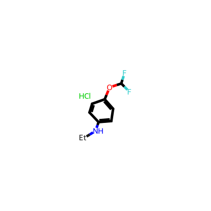 CCNc1ccc(OC(F)F)cc1.Cl